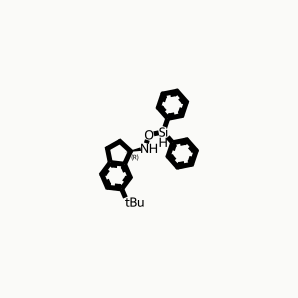 CC(C)(C)c1ccc2c(c1)[C@H](NO[SiH](c1ccccc1)c1ccccc1)CC2